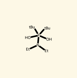 CCN(CC)P(O)(O)(C(C)(C)C)C(C)(C)C